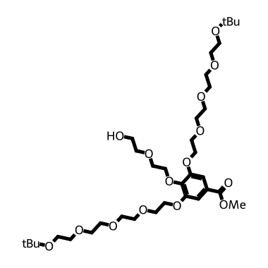 COC(=O)c1cc(OCCOCCOCCOCCOC(C)(C)C)c(OCCOCCO)c(OCCOCCOCCOCCOC(C)(C)C)c1